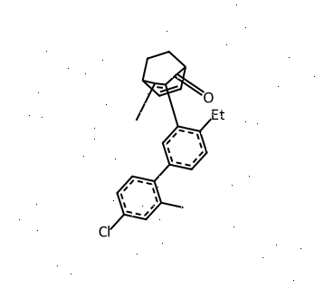 CCc1ccc(-c2ccc(Cl)cc2C)cc1C1=C(C)C2C=CC(CC2)C1=O